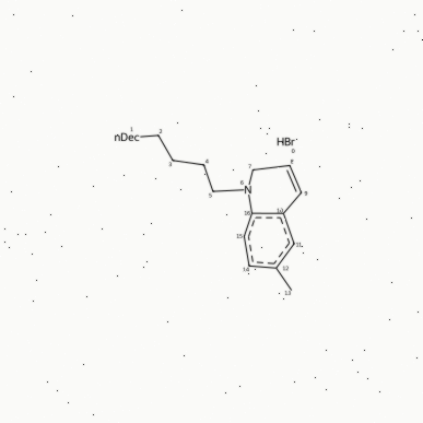 Br.CCCCCCCCCCCCCCN1CC=Cc2cc(C)ccc21